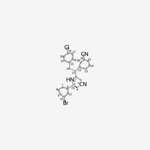 CC(N[C@@H](CC#N)c1cccc(Br)c1)C(Cc1ccc(Cl)cc1)c1cccc(C#N)c1